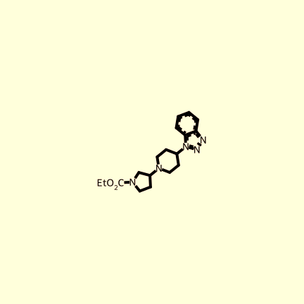 CCOC(=O)N1CCC(N2CCC(n3nnc4ccccc43)CC2)C1